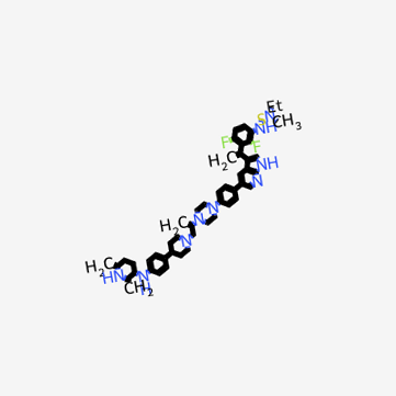 C=C1CCC(Nc2ccc(C3CCN(CC(=C)N4CCN(c5ccc(-c6cnc7[nH]cc(C(=C)c8c(F)ccc(NSN(C)CC)c8F)c7c6)cc5)CC4)CC3)cc2)C(=C)N1